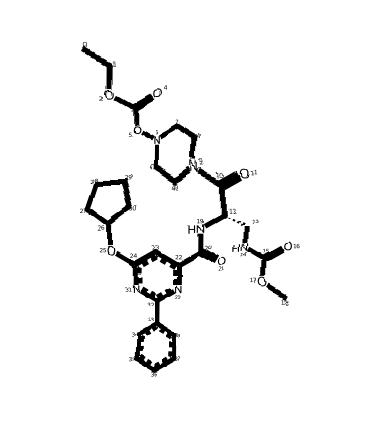 CCOC(=O)ON1CCN(C(=O)[C@H](CNC(=O)OC)NC(=O)c2cc(OC3CCCC3)nc(-c3ccccc3)n2)CC1